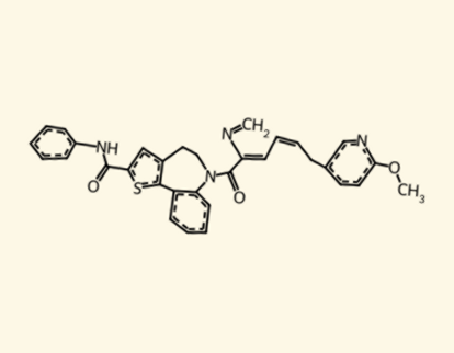 C=N/C(=C\C=C/Cc1ccc(OC)nc1)C(=O)N1CCc2cc(C(=O)Nc3ccccc3)sc2-c2ccccc21